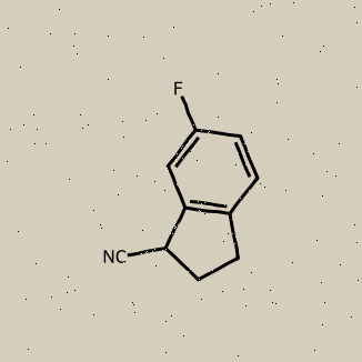 N#CC1CCc2ccc(F)cc21